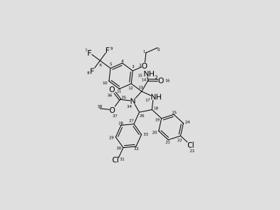 CCOc1cc(C(F)(F)F)ccc1C1(C(N)=O)NC(c2ccc(Cl)cc2)C(c2ccc(Cl)cc2)N1C(=O)OC